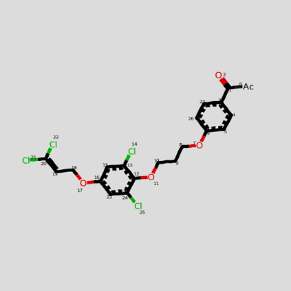 CC(=O)C(=O)c1ccc(OCCCOc2c(Cl)cc(OCC=C(Cl)Cl)cc2Cl)cc1